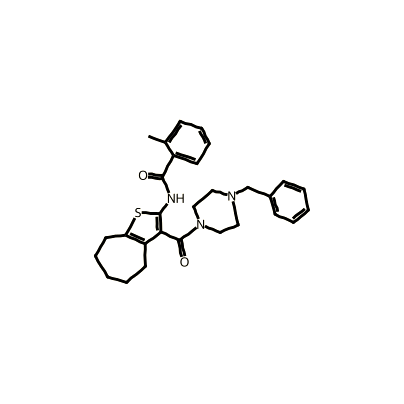 Cc1ccccc1C(=O)Nc1sc2c(c1C(=O)N1CCN(Cc3ccccc3)CC1)CCCCC2